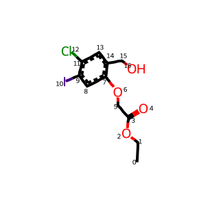 CCOC(=O)COc1cc(I)c(Cl)cc1CO